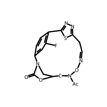 CC(=O)N1CC2CN(C(=O)O2)c2ccc(c(F)c2)-c2nnc(s2)CC=NO1